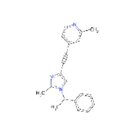 Cc1cc(C#Cc2cn(C(C)c3ccccc3)c(C)n2)ccn1